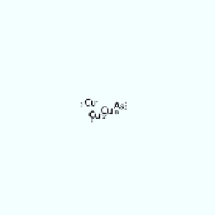 [As].[Cu].[Cu].[Cu]